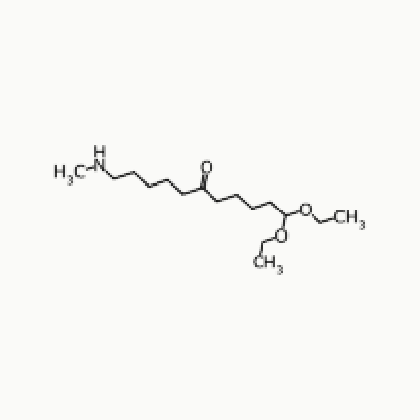 CCOC(CCCCC(=O)CCCCCNC)OCC